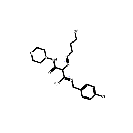 N/C(=N\Cc1ccc(Cl)cc1)C(/N=N/CCCO)C(=O)NN1CCOCC1